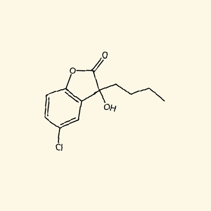 CCCCC1(O)C(=O)Oc2ccc(Cl)cc21